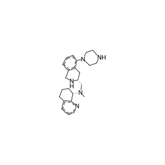 CN(C[C@H]1Cc2c(cccc2N2CCNCC2)CN1)[C@H]1CCCc2cccnc21